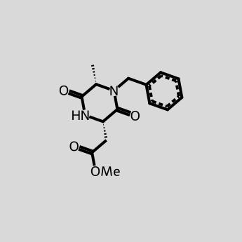 COC(=O)C[C@@H]1NC(=O)[C@H](C)N(Cc2ccccc2)C1=O